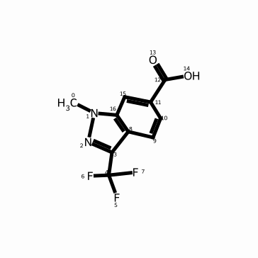 Cn1nc(C(F)(F)F)c2ccc(C(=O)O)cc21